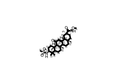 CONC(=O)[C@@]1(C)CC[C@]2(C)CC[C@]3(C)C(=CC(=O)[C@@H]4[C@@]5(C)CC[C@H](NS(C)(=O)=O)C(C)(C)C5CC[C@]43C)[C@@H]2C1